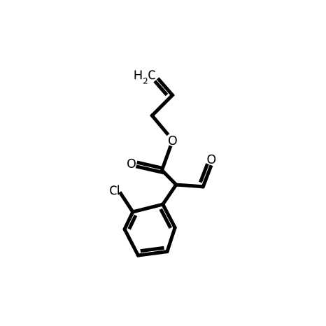 C=CCOC(=O)C(C=O)c1ccccc1Cl